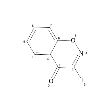 O=c1c(I)noc2ccccc12